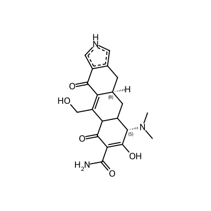 CN(C)[C@@H]1C(O)=C(C(N)=O)C(=O)C2C(CO)=C3C(=O)c4c[nH]cc4C[C@H]3CC21